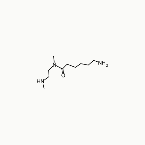 CNCCN(C)C(=O)CCCCCN